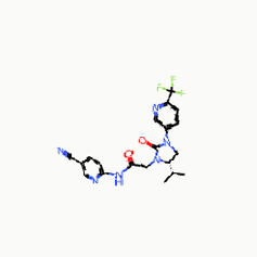 CC(C)[C@H]1CN(c2ccc(C(F)(F)F)nc2)C(=O)N1CC(=O)Nc1ccc(C#N)cn1